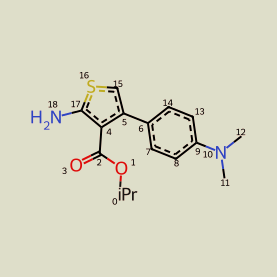 CC(C)OC(=O)c1c(-c2ccc(N(C)C)cc2)csc1N